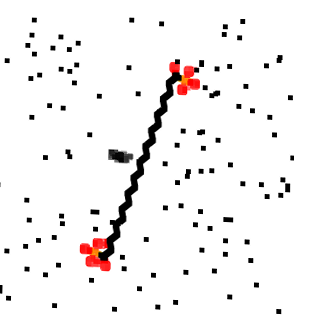 O=C(CCCCCCCCCCCCCCCCCCCCCCC(=O)P(=O)(O)O)P(=O)([O-])[O-].[Na+].[Na+]